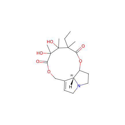 CCC1(C)C(=O)OC2CCN3CC=C(COC(=O)C(C)(O)C1(C)O)[C@H]23